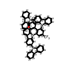 N#Cc1cccc(-c2c(-n3c4ccccc4c4ccc(-n5c6ccccc6c6ccccc65)cc43)cc(C(F)(F)F)cc2-n2c3ccccc3c3ccc(-n4c5ccccc5c5ccccc54)cc32)c1